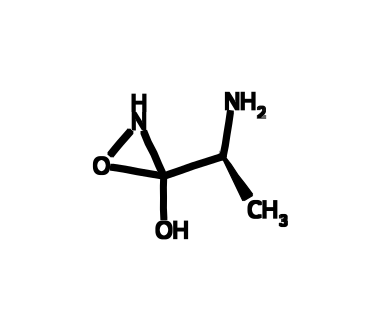 C[C@H](N)C1(O)NO1